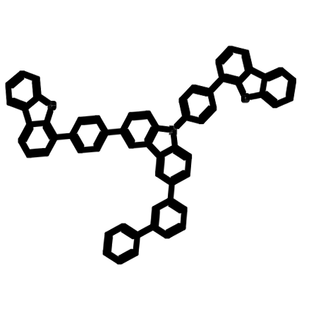 c1ccc(-c2cccc(-c3ccc4c(c3)c3cc(-c5ccc(-c6cccc7c6oc6ccccc67)cc5)ccc3n4-c3ccc(-c4cccc5c4oc4ccccc45)cc3)c2)cc1